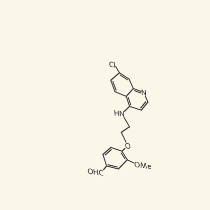 COc1cc(C=O)ccc1OCCNc1ccnc2cc(Cl)ccc12